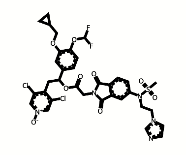 CS(=O)(=O)N(CCn1ccnc1)c1ccc2c(c1)C(=O)N(CC(=O)OC(Cc1c(Cl)c[n+]([O-])cc1Cl)c1ccc(OC(F)F)c(OCC3CC3)c1)C2=O